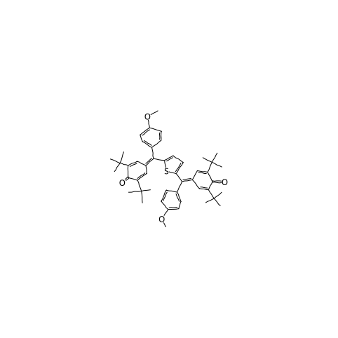 COc1ccc(C(=C2C=C(C(C)(C)C)C(=O)C(C(C)(C)C)=C2)c2ccc(C(=C3C=C(C(C)(C)C)C(=O)C(C(C)(C)C)=C3)c3ccc(OC)cc3)s2)cc1